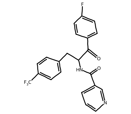 O=C(NC(Cc1ccc(C(F)(F)F)cc1)C(=O)c1ccc(F)cc1)c1cccnc1